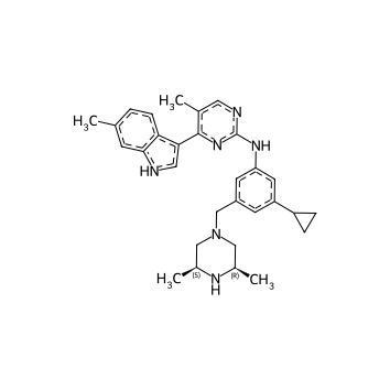 Cc1ccc2c(-c3nc(Nc4cc(CN5C[C@@H](C)N[C@@H](C)C5)cc(C5CC5)c4)ncc3C)c[nH]c2c1